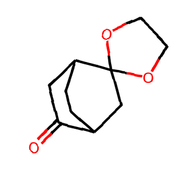 O=C1CC2CCC1CC21OCCO1